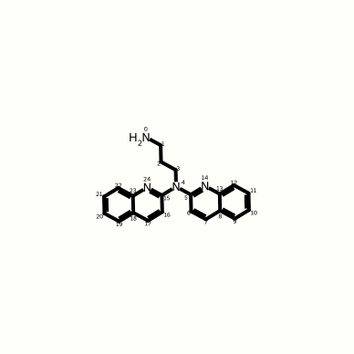 NCCCN(c1ccc2ccccc2n1)c1ccc2ccccc2n1